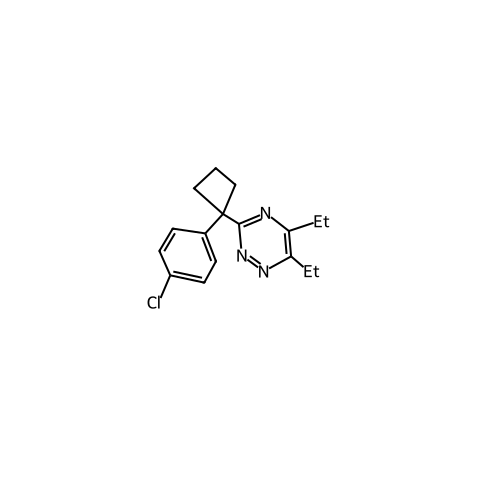 CCc1nnc(C2(c3ccc(Cl)cc3)CCC2)nc1CC